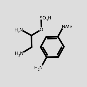 CNc1ccc(N)cc1.NCC(N)OS(=O)(=O)O